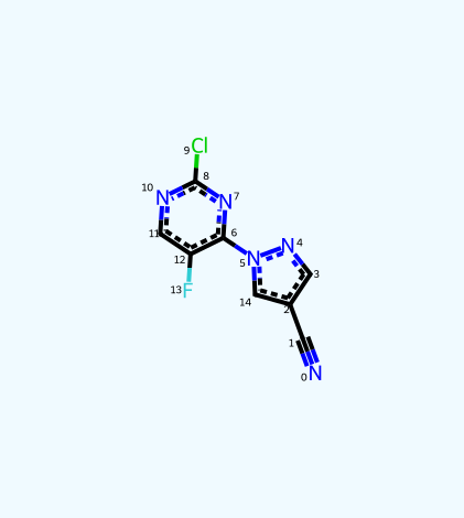 N#Cc1cnn(-c2nc(Cl)ncc2F)c1